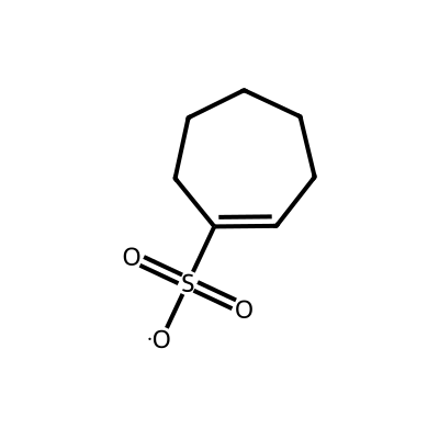 [O]S(=O)(=O)C1=CCCCCC1